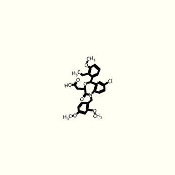 CCc1c(OC)cccc1C1OC(CC(=O)O)C(=O)N(Cc2ccc(OC)cc2OC)c2ccc(Cl)cc21